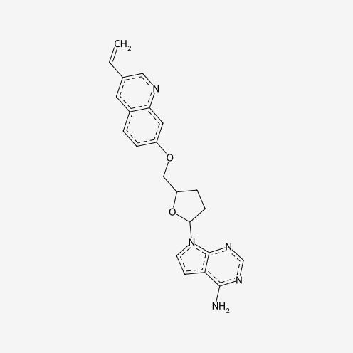 C=Cc1cnc2cc(OCC3CCC(n4ccc5c(N)ncnc54)O3)ccc2c1